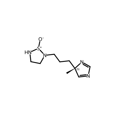 C[C@]1(CCCN2CCN[S+]2[O-])C=NC=N1